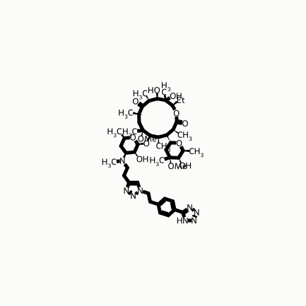 CC[C@H]1OC(=O)[C@H](C)C([C@H]2C[C@@](C)(OC)[C@@H](O)[C@H](C)O2)[C@H](C)[C@@H](O[C@@H]2O[C@H](C)C[C@H](N(C)CCc3cn(CCc4ccc(-c5nnn[nH]5)cc4)nn3)[C@H]2O)[C@](C)(OC)C[C@@H](C)C(=O)[C@H](C)[C@@H](O)[C@]1(C)O